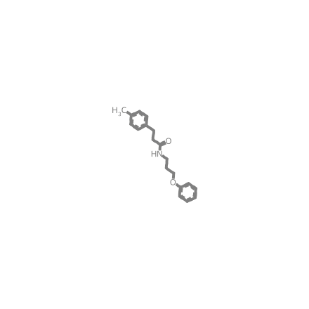 Cc1ccc(CCC(=O)NCCCOc2ccccc2)cc1